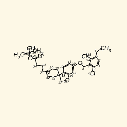 CCc1ccc(Cl)c(COc2ccc3c(c2)OCC32CCN(CCCC(=O)OC(C)(C)C)CC2)c1Cl